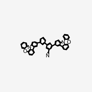 N#Cc1cc(-c2cccc(-c3ccc4c(c3)c3cccc5c3n4-c3ccccc3O5)c2)cc(-c2ccc3c(c2)c2cccc4c2n3-c2ccccc2O4)c1